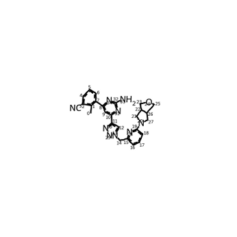 Cc1c(C#N)cccc1-c1cc(-c2cn(Cc3cccc(N4CC5COCC5C4)n3)nn2)nc(N)n1